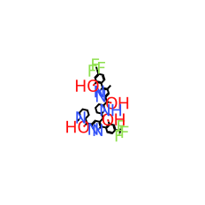 Cc1cc(C(O)C2CCCC(Cc3cc(C(O)C4CCCCN4C)nnc3-c3ccc(C(F)(F)F)cc3O)N2)nnc1-c1ccc(C(F)(F)F)cc1O